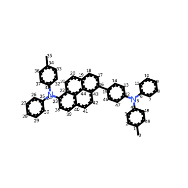 Cc1ccc(N(c2ccccc2)c2ccc(-c3ccc4ccc5c(N(c6ccccc6)c6ccc(C)cc6)ccc6ccc3c4c65)cc2)cc1